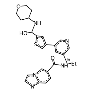 CC[C@@H](NC(=O)c1ccc2nccn2c1)c1cncc(-c2csc(C(O)NC3CCOCC3)c2)c1